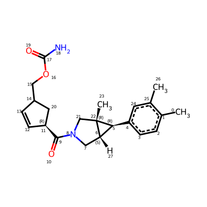 Cc1ccc([C@H]2[C@@H]3CN(C(=O)[C@H]4C=CC(COC(N)=O)C4)C[C@@]32C)cc1C